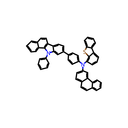 c1ccc(-n2c3cc(-c4ccc(N(c5ccc6ccc7ccccc7c6c5)c5cccc6c5sc5ccccc56)cc4)ccc3c3ccc4ccccc4c32)cc1